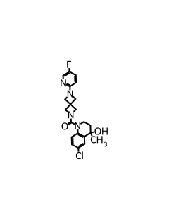 CC1(O)CCN(C(=O)N2CC3(C2)CN(c2ccc(F)cn2)C3)c2ccc(Cl)cc21